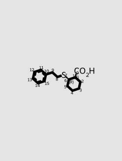 O=C(O)[C@H]1CCCC[C@H]1SCCc1ccccc1